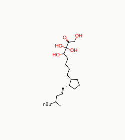 CCCCC(C)CC=C[C@H]1CCC[C@@H]1CCCCC(O)C(O)(O)C(=O)CO